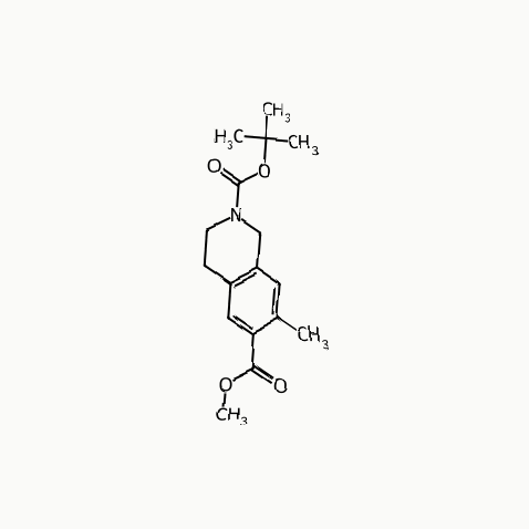 COC(=O)c1cc2c(cc1C)CN(C(=O)OC(C)(C)C)CC2